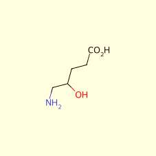 NCC(O)CCC(=O)O